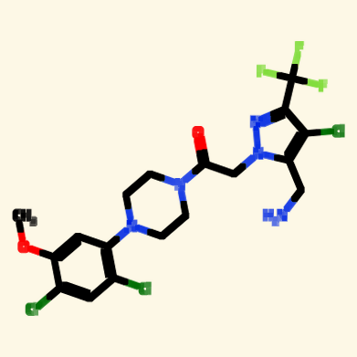 COc1cc(N2CCN(C(=O)Cn3nc(C(F)(F)F)c(Cl)c3CN)CC2)c(Cl)cc1Cl